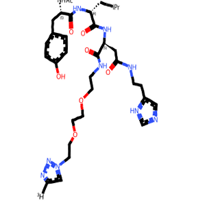 [3H]c1cn(CCOCCOCCNC(=O)[C@H](CC(=O)NCCc2cnc[nH]2)NC(=O)[C@@H](CC(C)C)NC(=O)[C@H](Cc2ccc(O)cc2)NC(C)=O)nn1